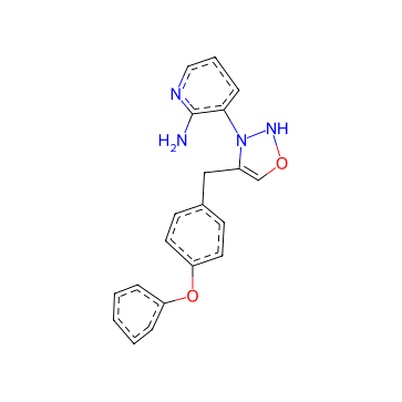 Nc1ncccc1N1NOC=C1Cc1ccc(Oc2ccccc2)cc1